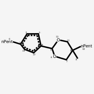 CCCCCc1ccc(C2OCC(C)(CCCCC)CO2)cc1